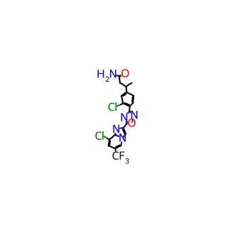 CC(CC(N)=O)c1ccc(-c2noc(-c3cn4cc(C(F)(F)F)cc(Cl)c4n3)n2)c(Cl)c1